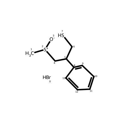 Br.C[S+]([O-])CC(CS)c1ccccc1